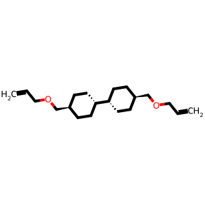 C=CCOC[C@H]1CC[C@H]([C@H]2CC[C@H](COCC=C)CC2)CC1